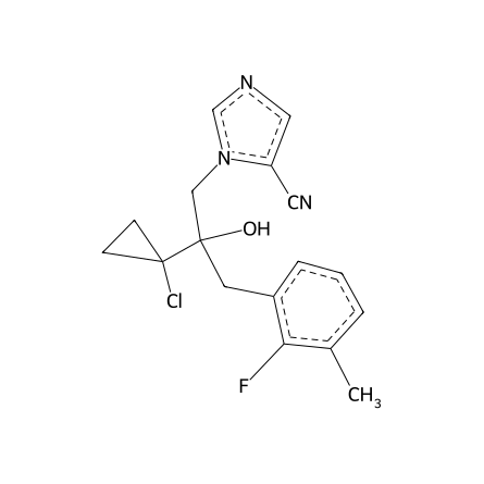 Cc1cccc(CC(O)(Cn2cncc2C#N)C2(Cl)CC2)c1F